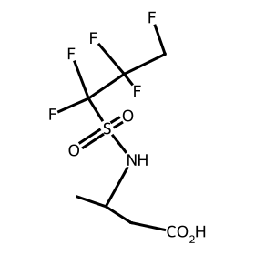 CC(CC(=O)O)NS(=O)(=O)C(F)(F)C(F)(F)CF